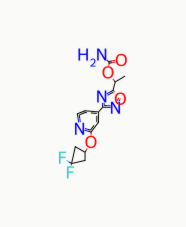 CC(OC(N)=O)c1nc(-c2ccnc(OC3CC(F)(F)C3)c2)no1